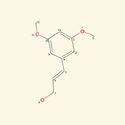 COc1cc(C=CC[O])cc(OC)c1